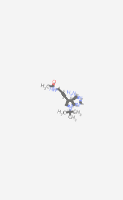 CC(=O)NCC#Cc1cn(C(C)(C)C)c2ncnc(N)c12